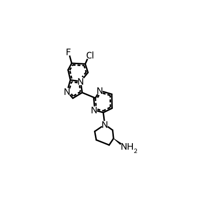 N[C@H]1CCCN(c2ccnc(-c3cnc4cc(F)c(Cl)cn34)n2)C1